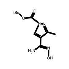 Cc1nn(C(=O)OC(C)(C)C)cc1C(N)=NO